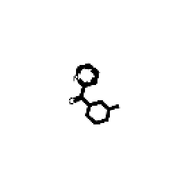 CC1CCCC(C(=O)c2ccccn2)C1